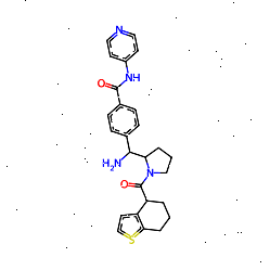 NC(c1ccc(C(=O)Nc2ccncc2)cc1)C1CCCN1C(=O)C1CCCc2sccc21